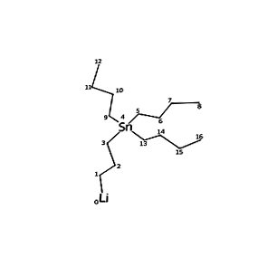 [Li][CH2]C[CH2][Sn]([CH2]CCC)([CH2]CCC)[CH2]CCC